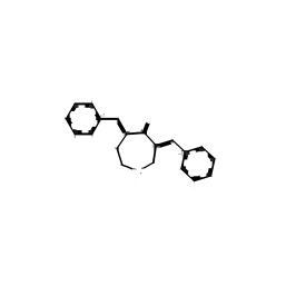 O=C1/C(=C/c2ccccc2)CCNC/C1=C\c1ccccc1